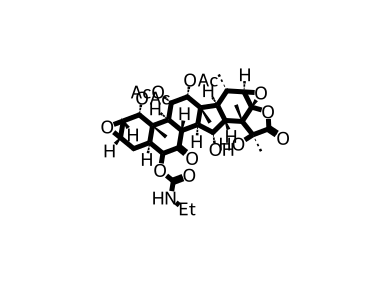 CCNC(=O)OC1C(=O)[C@H]2[C@@H]3[C@@H](O)[C@@H]4[C@H]([C@H](C)[C@H]5O[C@]56OC(=O)[C@@](C)(O)[C@]46C)[C@@]3(C)[C@@H](OC(C)=O)[C@@H](OC(C)=O)[C@@H]2[C@]2(C)[C@@H]1C[C@@H]1O[C@@H]1[C@@H]2OC(C)=O